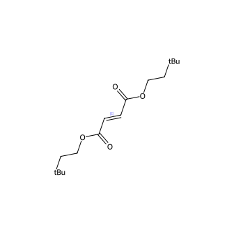 CC(C)(C)CCOC(=O)/C=C/C(=O)OCCC(C)(C)C